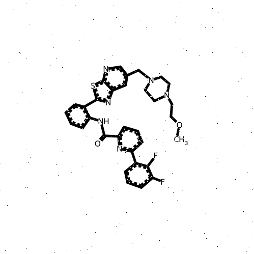 COCCN1CCN(Cc2cnc3sc(-c4ccccc4NC(=O)c4cccc(-c5cccc(F)c5F)n4)nc3c2)CC1